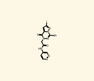 CC(C)c1nn(CC(=O)Nc2ccnnc2)c(=O)c2cc(I)nn12